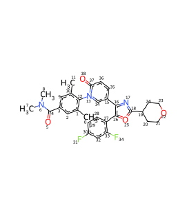 Cc1cc(C(=O)N(C)C)cc(C)c1-n1cc(-c2nc(C3CCOCC3)oc2-c2ccc(F)cc2F)ccc1=O